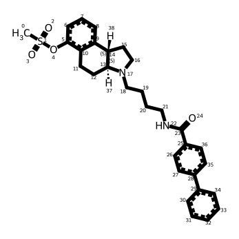 CS(=O)(=O)Oc1cccc2c1CC[C@H]1[C@H]2CCN1CCCCNC(=O)c1ccc(-c2ccccc2)cc1